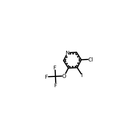 FC(F)(F)Oc1cncc(Cl)c1I